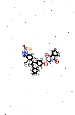 CC/C(=C(/c1ccc(OCCN2C(=O)c3ccccc3C2=O)cc1)c1ccc2c(cnn2PI)c1)c1ccccc1